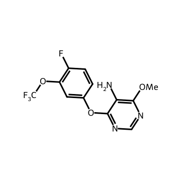 COc1ncnc(Oc2ccc(F)c(OC(F)(F)F)c2)c1N